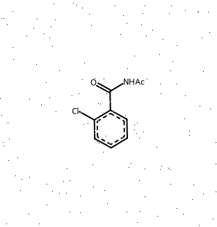 CC(=O)NC(=O)c1ccccc1Cl